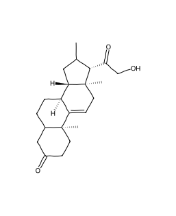 CC1C[C@H]2[C@@H]3CCC4CC(=O)CC[C@]4(C)C3=CC[C@]2(C)[C@H]1C(=O)CO